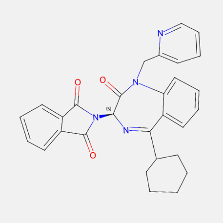 O=C1[C@H](N2C(=O)c3ccccc3C2=O)N=C(C2CCCCC2)c2ccccc2N1Cc1ccccn1